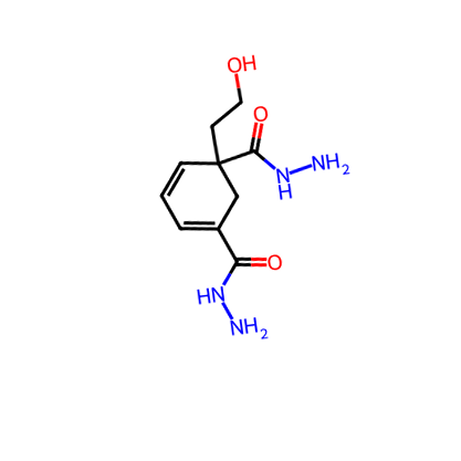 NNC(=O)C1=CC=CC(CCO)(C(=O)NN)C1